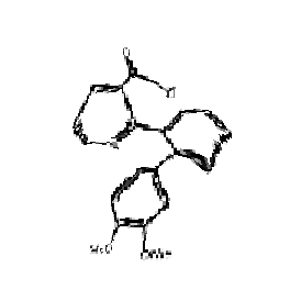 COc1ccc(-c2ccccc2-c2ncccc2C(=O)Cl)cc1OC